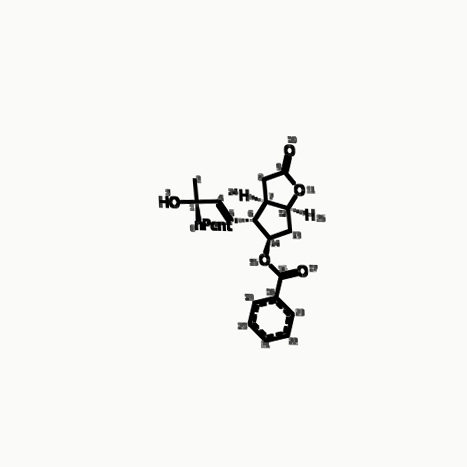 CCCCC[C@](C)(O)C=C[C@@H]1[C@H]2CC(=O)O[C@H]2C[C@H]1OC(=O)c1ccccc1